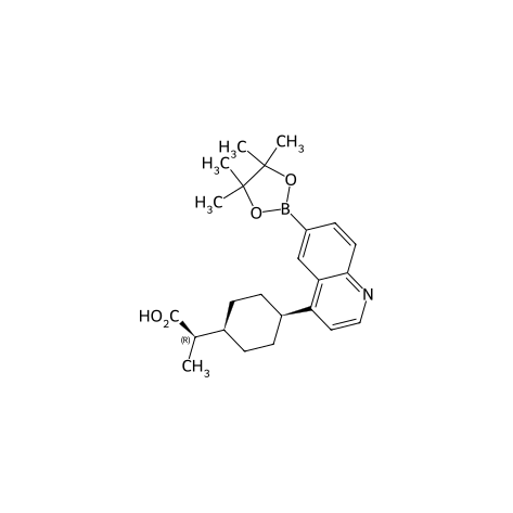 C[C@@H](C(=O)O)[C@H]1CC[C@@H](c2ccnc3ccc(B4OC(C)(C)C(C)(C)O4)cc32)CC1